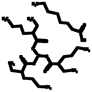 CCCCC(CC)C(=O)[O][Bi]([O]C(=O)C(CC)CCCC)[O]C(=O)C(CC)CCCC.CCCCCCCC(=O)O